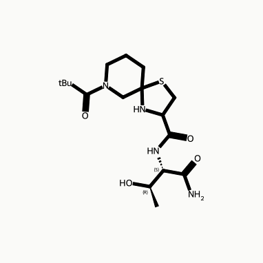 C[C@@H](O)[C@H](NC(=O)C1CSC2(CCCN(C(=O)C(C)(C)C)C2)N1)C(N)=O